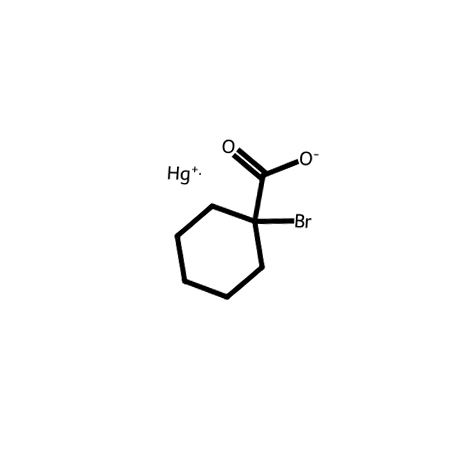 O=C([O-])C1(Br)CCCCC1.[Hg+]